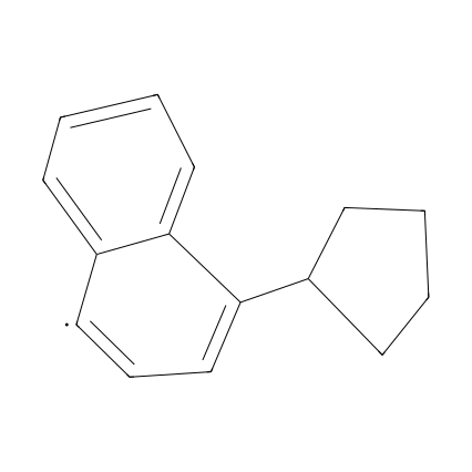 [c]1ccc(C2CCCC2)c2ccccc12